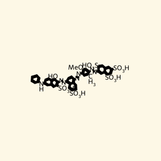 COc1cc(N=Nc2cc3c(S(=O)(=O)O)cc(S(=O)(=O)O)cc3cc2S(=O)(=O)O)c(C)cc1N=Nc1ccc(N=Nc2c(S(=O)(=O)O)cc3cc(Nc4ccccc4)ccc3c2O)c2cc(S(=O)(=O)O)ccc12